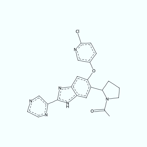 CC(=O)N1CCCC1c1cc2[nH]c(-c3cnccn3)nc2cc1Oc1ccc(Cl)nc1